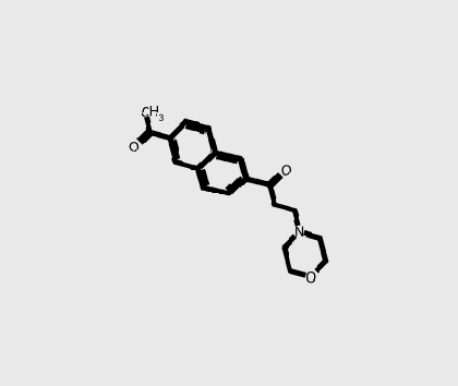 CC(=O)c1ccc2cc(C(=O)CCN3CCOCC3)ccc2c1